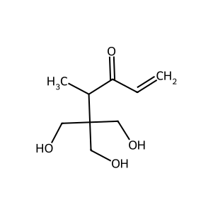 C=CC(=O)C(C)C(CO)(CO)CO